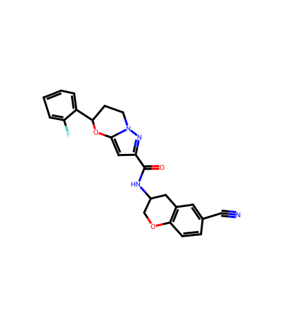 N#Cc1ccc2c(c1)CC(NC(=O)c1cc3n(n1)CCC(c1ccccc1F)O3)CO2